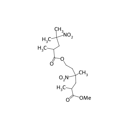 COC(=O)C(C)CC(C)(CCOC(=O)C(C)CC(C)(C)[N+](=O)[O-])[N+](=O)[O-]